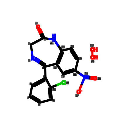 O=C1CN=C(c2ccccc2Cl)c2cc([N+](=O)[O-])ccc2N1.OO